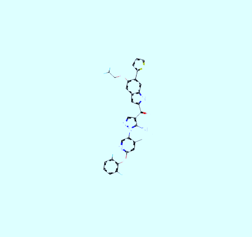 Cc1cc(Oc2c(F)cccc2F)ncc1-n1ncc(C(=O)c2cc3cc(OCC(F)F)c(-c4cccs4)cc3[nH]2)c1N